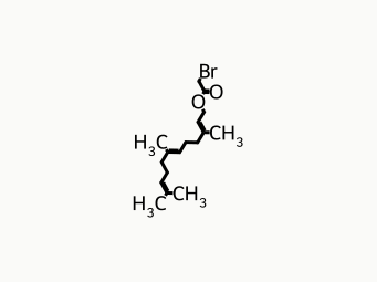 CC(C)=CCCC(C)=CCCC(C)=CCOC(=O)CBr